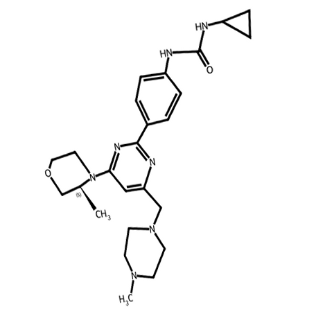 C[C@H]1COCCN1c1cc(CN2CCN(C)CC2)nc(-c2ccc(NC(=O)NC3CC3)cc2)n1